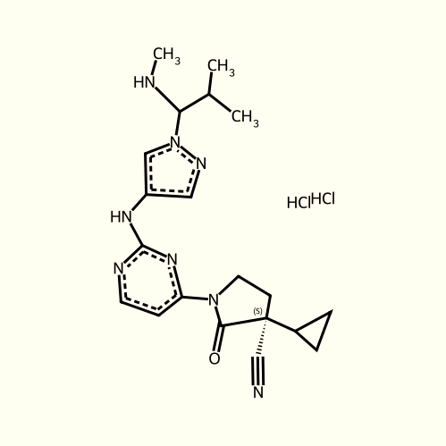 CNC(C(C)C)n1cc(Nc2nccc(N3CC[C@@](C#N)(C4CC4)C3=O)n2)cn1.Cl.Cl